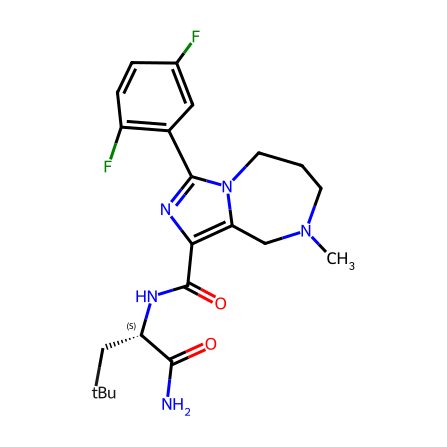 CN1CCCn2c(-c3cc(F)ccc3F)nc(C(=O)N[C@@H](CC(C)(C)C)C(N)=O)c2C1